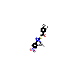 CCn1c(SCC(=O)c2ccc(C)cc2)nnc1-c1ccc([N+](=O)[O-])cc1